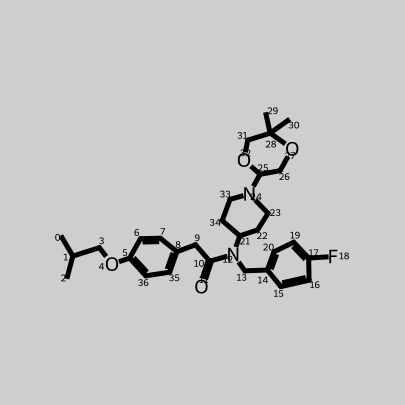 CC(C)COc1ccc(CC(=O)N(Cc2ccc(F)cc2)C2CCN(C3COC(C)(C)CO3)CC2)cc1